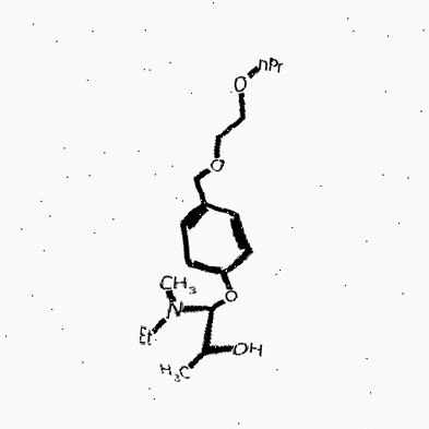 CCCOCCOCc1ccc(OC(C(C)O)N(C)CC)cc1